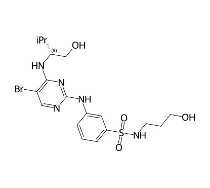 CC(C)[C@H](CO)Nc1nc(Nc2cccc(S(=O)(=O)NCCCO)c2)ncc1Br